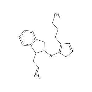 C=CCC1[C]([Zr][C]2=C(CCCC)C=CC2)=Cc2ccccc21